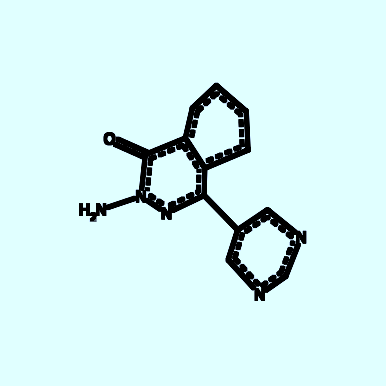 Nn1nc(-c2cncnc2)c2ccccc2c1=O